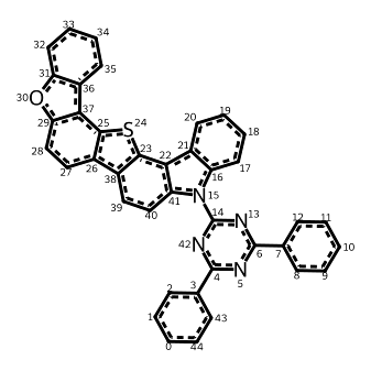 c1ccc(-c2nc(-c3ccccc3)nc(-n3c4ccccc4c4c5sc6c(ccc7oc8ccccc8c76)c5ccc43)n2)cc1